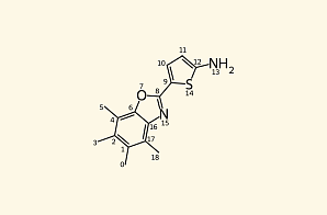 Cc1c(C)c(C)c2oc(-c3ccc(N)s3)nc2c1C